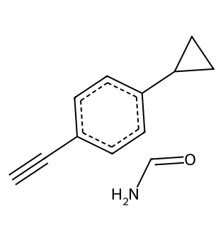 C#Cc1ccc(C2CC2)cc1.NC=O